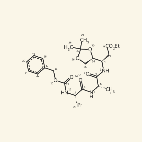 CCOC(=O)C[C@@H](NC(=O)[C@H](C)NC(=O)[C@@H](NC(=O)OCc1ccccc1)C(C)C)[C@H]1COC(C)(C)O1